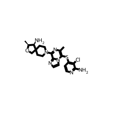 Cc1nc(N2CCC3(CC2)CO[C@@H](C)[C@H]3N)c2nccn2c1Sc1ccnc(N)c1Cl